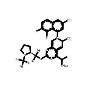 [2H]C([2H])(Oc1nc(C(C)CCCCCC)c2c(n1)=CN(c1cc(O)cc3ccc(F)c(F)c13)C(C(F)(F)F)C=2)[C@@H]1CCCN1C([2H])([2H])[2H]